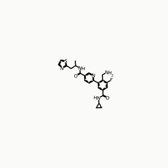 CC(Cc1nccs1)NC(=O)c1ccc(-c2cc(C(=O)NC3CC3)cc(F)c2CN)nc1